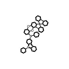 c1ccc(N(c2ccc3c(c2)c2ccccc2n3-c2ccccc2)c2cccc3c2Oc2c(ccc4c2-c2ccccc2C42c4ccccc4-c4ccccc42)O3)cc1